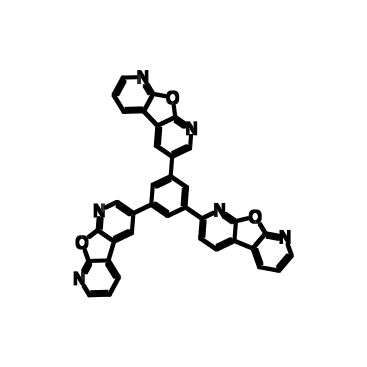 c1cnc2oc3ncc(-c4cc(-c5cnc6oc7ncccc7c6c5)cc(-c5ccc6c(n5)oc5ncccc56)c4)cc3c2c1